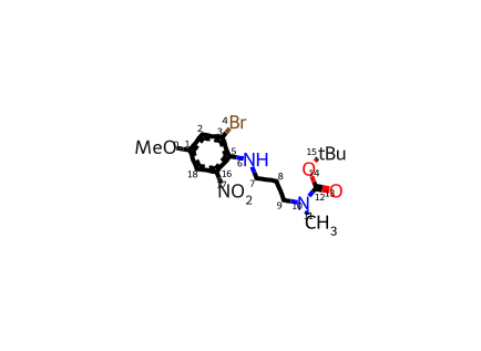 COc1cc(Br)c(NCCCN(C)C(=O)OC(C)(C)C)c([N+](=O)[O-])c1